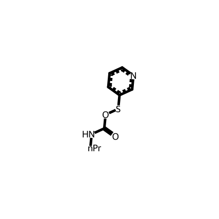 CCCNC(=O)OSc1cccnc1